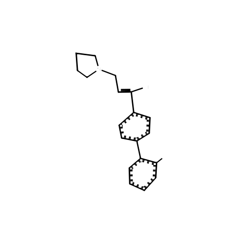 CC(=CCN1CCCC1)c1ccc(-c2ccccc2Cl)cc1